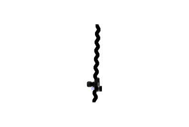 CCCCCCCCCCCCCO/[SH](=O)=[SH]/CCC